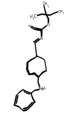 CC(C)(C)OC(=O)/N=C/C1CCC(Nc2ccccc2)CC1